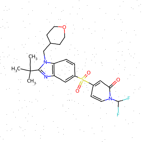 CC(C)(C)c1nc2cc(S(=O)(=O)c3ccn(C(F)F)c(=O)c3)ccc2n1CC1CCOCC1